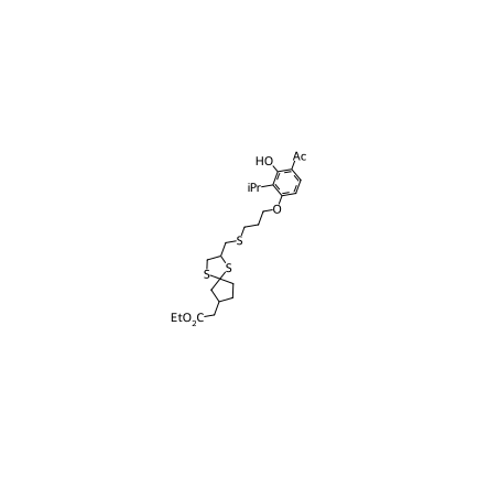 CCOC(=O)CC1CCC2(C1)SCC(CSCCCOc1ccc(C(C)=O)c(O)c1C(C)C)S2